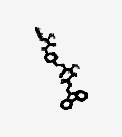 C[C@H](N=[N+]=[N-])C(=O)Nc1ccc(COC(=O)[C@H](C)NC(=O)OCC2c3ccccc3-c3ccccc32)cc1